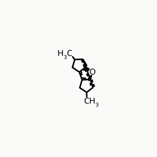 CC1Cc2c3c4oc2c1c4C(C)C3